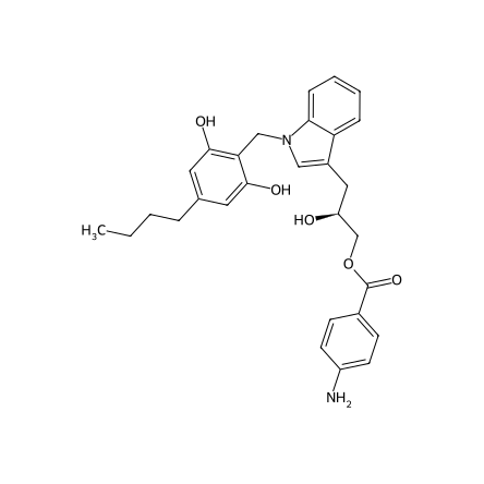 CCCCc1cc(O)c(Cn2cc(C[C@H](O)COC(=O)c3ccc(N)cc3)c3ccccc32)c(O)c1